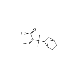 CC=C(C(=O)O)C(C)(C)C1CC2CCC1C2